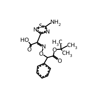 CC(C)(C)OC(=O)C(ON=C(C(=O)O)c1nsc(N)n1)c1ccccc1